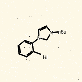 CCCCN1C=CN(c2ccccc2C)C1.I